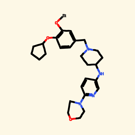 CCOc1cc(CN2CCC(Nc3ccc(N4CCOCC4)nc3)CC2)ccc1OC1CCCC1